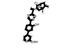 C=C(c1ncc(-c2ccc(-c3ccnc(OC)c3)cc2O)nn1)[C@@H]1C[C@]2(C)NC(CC2C)[C@@H]1F